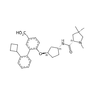 CN1CC(C)(C)C[C@H]1C(=O)N[C@@H]1CC[C@@H](Oc2ccc(C(=O)O)cc2-c2ccccc2C2CCC2)C1